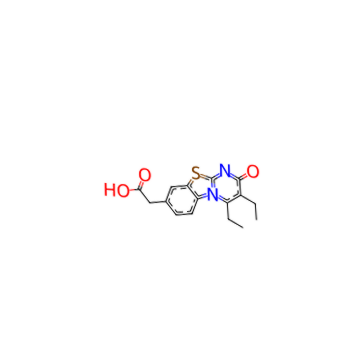 CCc1c(CC)n2c(nc1=O)sc1cc(CC(=O)O)ccc12